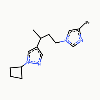 CC(C)c1cn(CCC(C)c2cnn(C3CCC3)c2)cn1